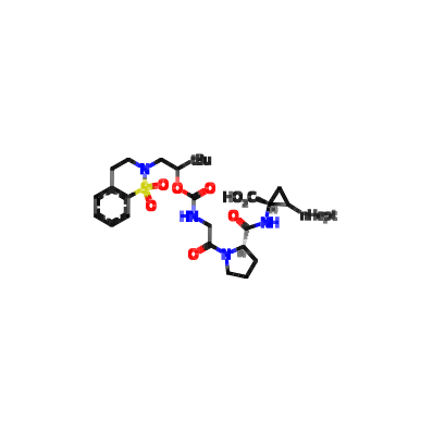 CCCCCCCC1C[C@]1(NC(=O)[C@@H]1CCCN1C(=O)CNC(=O)OC(CN1CCc2ccccc2S1(=O)=O)C(C)(C)C)C(=O)O